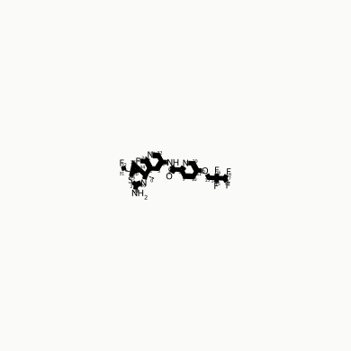 C[C@]1(c2cc(NC(=O)c3ccc(OCC(F)(F)C(F)F)cn3)cnc2F)N=C(N)S[C@@]2(CF)CC21